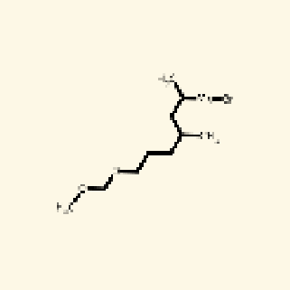 COCOCCCC(C)C[CH](C)[Mg][Br]